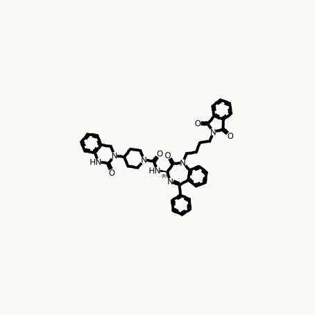 O=C(N[C@@H]1N=C(c2ccccc2)c2ccccc2N(CCCCN2C(=O)c3ccccc3C2=O)C1=O)N1CCC(N2Cc3ccccc3NC2=O)CC1